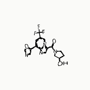 O=C(c1cnc2c(-c3cnco3)cc(C(F)(F)F)cn12)N1CCC(O)C1